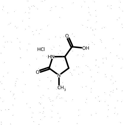 CN1CC(C(=O)O)NC1=O.Cl